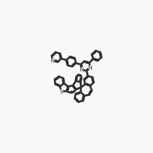 C1=Cc2ccc(-c3nc(-c4ccccc4)cc(-c4ccc(-c5cccnc5)cc4)n3)cc2C2(c3ccccc31)c1ccccc1-c1c2ccc2sc3ccccc3c12